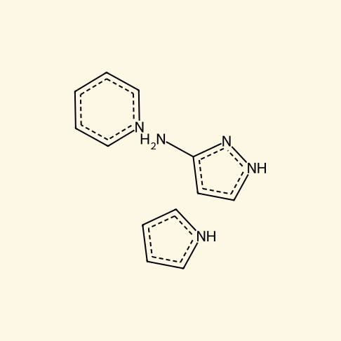 Nc1cc[nH]n1.c1cc[nH]c1.c1ccncc1